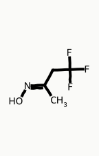 C/C(CC(F)(F)F)=N\O